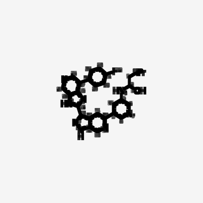 CC(C)CC(O)Nc1cncc(-c2cc3c(-c4nc5c(-c6ccc(F)cc6)cncc5[nH]4)n[nH]c3cn2)c1